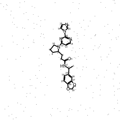 CC(NC(=O)CCC1CCCN1c1ccnc(-n2ccnc2)n1)c1ccc2c(c1)OCO2